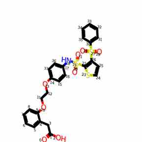 O=C(O)Cc1ccccc1OCCOc1ccc(NS(=O)(=O)c2sccc2S(=O)(=O)c2ccccc2)cc1